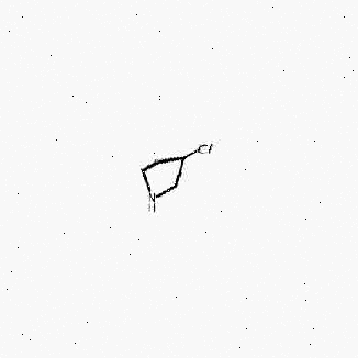 ClC1[CH]CNC1